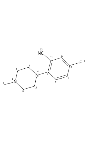 CN1CCN(c2ccc(F)cc2C#N)CC1